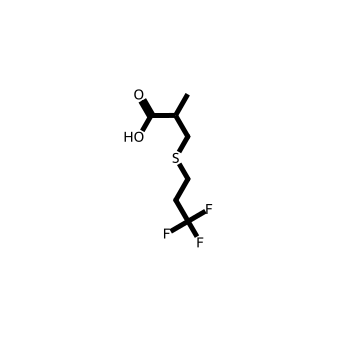 CC(CSCCC(F)(F)F)C(=O)O